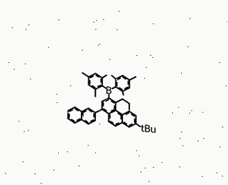 Cc1cc(C)c(B(c2cc(-c3ccc4ccccc4c3)c3ccc4cc(C(C)(C)C)cc5c4c3c2CC5)c2c(C)cc(C)cc2C)c(C)c1